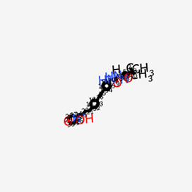 CC(C)(C)c1cc(NC(=O)Nc2ccc(C#CC3=CCC(CCCC[N+]4(O)CCOCC4)C=C3)cc2)no1